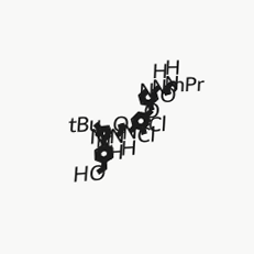 CCCNC(=O)Nc1cc(Oc2ccc(NC(=O)Nc3cc(C(C)(C)C)nn3-c3ccc(CO)cc3)c(Cl)c2Cl)ccn1